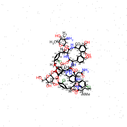 CN[C@H](CC(C)C)C(=O)N[C@H]1C(=O)N[C@@H](CC(N)=O)C(=O)N[C@H]2C(=O)N[C@H]3C(=O)N[C@H](C(=O)N[C@@H](C(=O)O)c4cc(O)cc(O)c4-c4cc3ccc4O)[C@H](O[C@H]3C[C@](C)(N)[C@@H](O)[C@H](C)O3)c3ccc(c(Cl)c3)Oc3cc2cc(c3O[C@@H]2O[C@H](CO)[C@@H](O)[C@H](O)[C@H]2O[C@H]2C[C@](C)(NCc3ccc(-c4ccc(Cl)cc4)cc3)[C@@H](O)[C@H](C)O2)Oc2ccc(cc2Cl)[C@H]1O